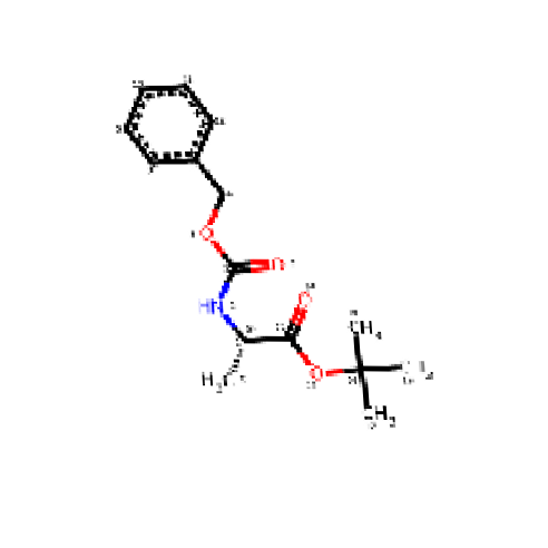 C[C@H](NC(=O)OCc1ccccc1)C(=O)OC(C)(C)C